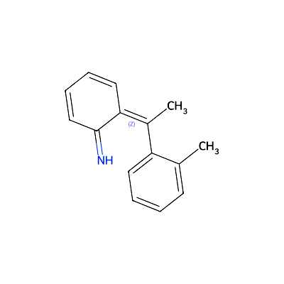 C/C(=C1\C=CC=CC1=N)c1ccccc1C